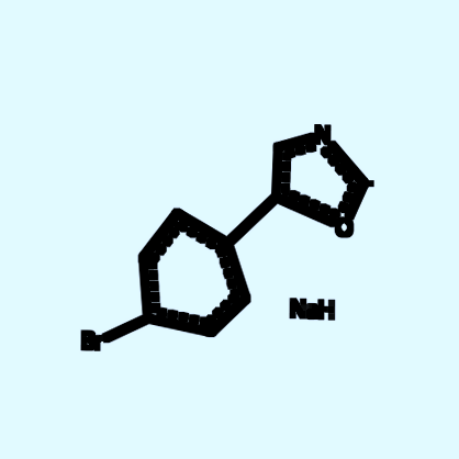 Brc1ccc(-c2cn[c]o2)cc1.[NaH]